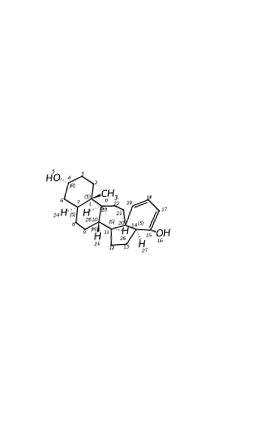 C[C@]12CC[C@@H](O)C[C@@H]1CC[C@H]1[C@@H]3CC[C@@H]4C(O)=CC=CC43CC[C@@H]12